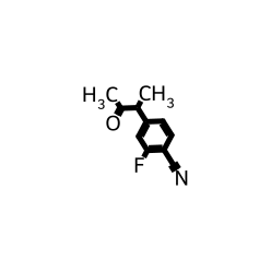 CC(=O)C(C)c1ccc(C#N)c(F)c1